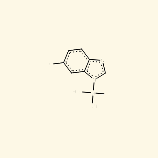 C[Si](C)(C)n1cnc2ccc(C(F)(F)F)cc21